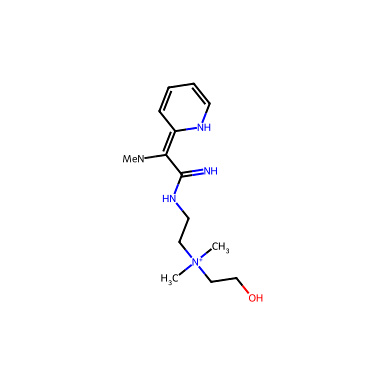 CN/C(C(=N)NCC[N+](C)(C)CCO)=C1\C=CC=CN1